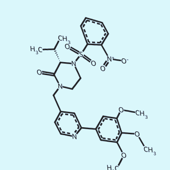 COc1cc(-c2cc(CN3CCN(S(=O)(=O)c4ccccc4[N+](=O)[O-])[C@@H](C(C)C)C3=O)ccn2)cc(OC)c1OC